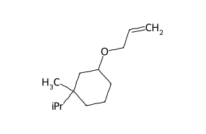 C=CCOC1CCCC(C)(C(C)C)C1